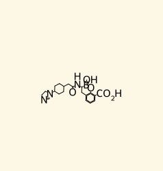 O=C(CC1CCC(N2C=NCC2)CC1)NC1Cc2cccc(C(=O)O)c2OB1O